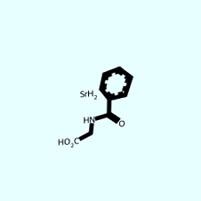 O=C(O)CNC(=O)c1ccccc1.[SrH2]